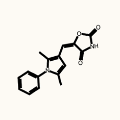 Cc1cc(/C=C2/OC(=O)NC2=O)c(C)n1-c1ccccc1